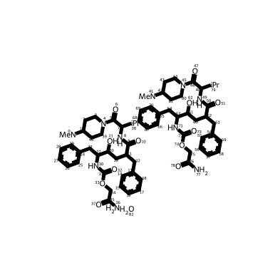 CNC1CCN(C(=O)C(NC(=O)C(Cc2ccccc2)CC(O)C(Cc2ccccc2)NC(=O)OCC(N)=O)C(C)C)CC1.CNC1CCN(C(=O)C(NC(=O)C(Cc2ccccc2)CC(O)C(Cc2ccccc2)NC(=O)OCC(N)=O)C(C)C)CC1.O